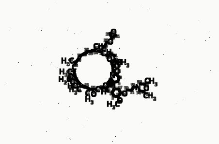 CO[C@@H]1C[C@H](CC2[C@H]3CCCN4C(=O)C(=O)[C@]5(O)O[C@@H](CC[C@H]5C)C[C@@H](OCCOC5COC5)/C(C)=C/C=C/C=C/[C@@H](C)C[C@@H](C)C(=O)[C@H](OC)[C@H](O)/C(C)=C/[C@@H](C)C(=O)C[C@@H]2OC(=O)C34)CC[C@H]1OCCCN1C[C@@H](C)O[C@@H](C)C1